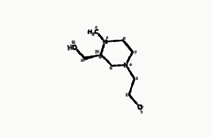 CN1CCN(CC[O])C[C@H]1CO